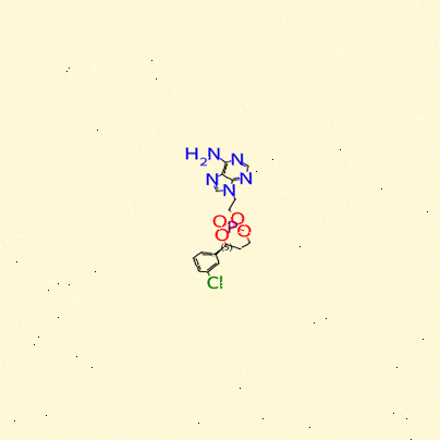 Nc1ncnc2c1ncn2CCOP1(=O)OCC[C@@H](c2cccc(Cl)c2)O1